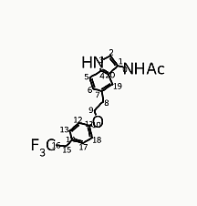 CC(=O)Nc1c[nH]c2ccc(CCOc3ccc(CC(F)(F)F)cc3)cc12